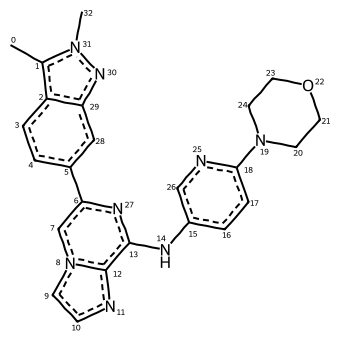 Cc1c2ccc(-c3cn4ccnc4c(Nc4ccc(N5CCOCC5)nc4)n3)cc2nn1C